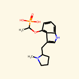 CC(Oc1cccc2[nH]cc(CC3CCCN3C)c12)P(=O)(O)O